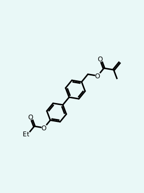 C=C(C)C(=O)OCc1ccc(-c2ccc(OC(=O)CC)cc2)cc1